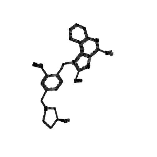 COc1cc(CN2CC[C@H](O)C2)ccc1Cn1c(SC)nc2c(N)nc3ccccc3c21